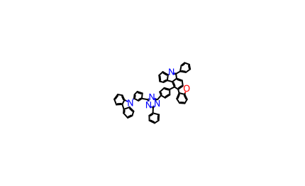 c1ccc(-c2nc(-c3ccc(-c4c5c(cc6c(-c7ccccc7)nc7ccccc7c46)oc4ccccc45)cc3)nc(-c3cccc(-n4c5ccccc5c5ccccc54)c3)n2)cc1